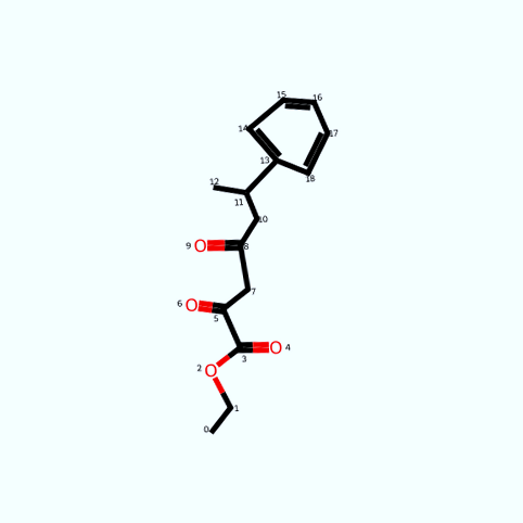 CCOC(=O)C(=O)CC(=O)CC(C)c1ccccc1